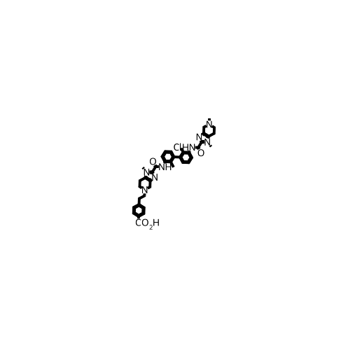 Cc1c(NC(=O)c2nc3c(n2C)CCN(CCc2ccc(C(=O)O)cc2)C3)cccc1-c1cccc(NC(=O)c2nc3c(n2C)CCN(C)C3)c1Cl